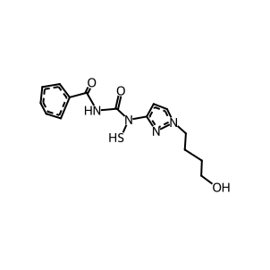 O=C(NC(=O)N(S)c1ccn(CCCCO)n1)c1ccccc1